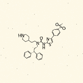 CS(=O)(=O)c1ccc(-c2csc(NC(=O)N(CCC3CCNCC3)CCC(c3ccccc3)c3ccccc3)n2)cc1